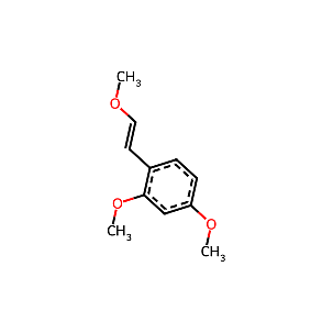 COC=Cc1ccc(OC)cc1OC